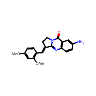 COc1ccc(C=C2CCn3c2nc2ccc(N)cc2c3=O)c(OC)c1